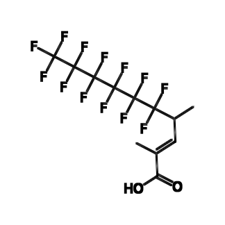 CC(=CC(C)C(F)(F)C(F)(F)C(F)(F)C(F)(F)C(F)(F)C(F)(F)F)C(=O)O